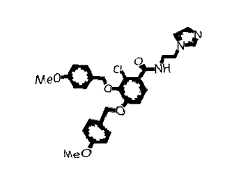 COc1ccc(COc2ccc(C(=O)NCCn3ccnc3)c(Cl)c2OCc2ccc(OC)cc2)cc1